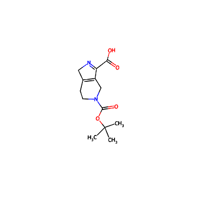 CC(C)(C)OC(=O)N1CCC2=C(C1)C(C(=O)O)=NC2